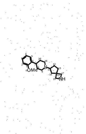 COc1ccccc1C1CCN(C2CCC3(CNC3)C2)CC1